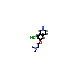 CN(C)CCOc1ccc2c(c1)CCNC2.Cl